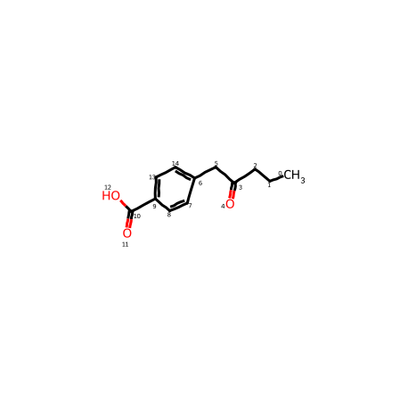 CCCC(=O)Cc1ccc(C(=O)O)cc1